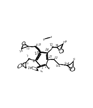 CC.Cc1c(O)c(CC2CO2)c(CC2CO2)c(CC2CO2)c1CCC1CO1